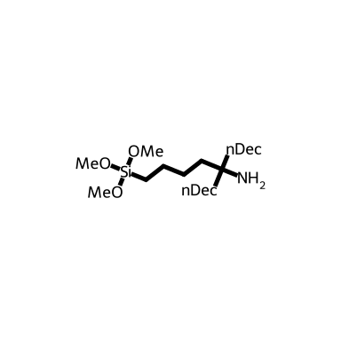 CCCCCCCCCCC(N)(CCCCCCCCCC)CCCC[Si](OC)(OC)OC